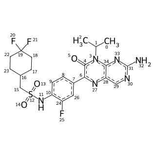 CC(C)n1c(=O)c(-c2ccc(NS(=O)(=O)CC3CCC(F)(F)CC3)c(F)c2)nc2cnc(N)nc21